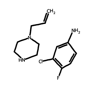 C=CCN1CCNCC1.Nc1ccc(F)c(Cl)c1